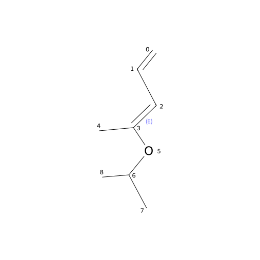 C=C/C=C(\C)OC(C)C